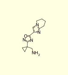 NCC1(c2noc(-c3cn4c(n3)CCCC4)n2)CC1